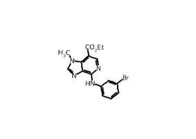 CCOC(=O)c1cnc(Nc2cccc(Br)c2)c2ncn(C)c12